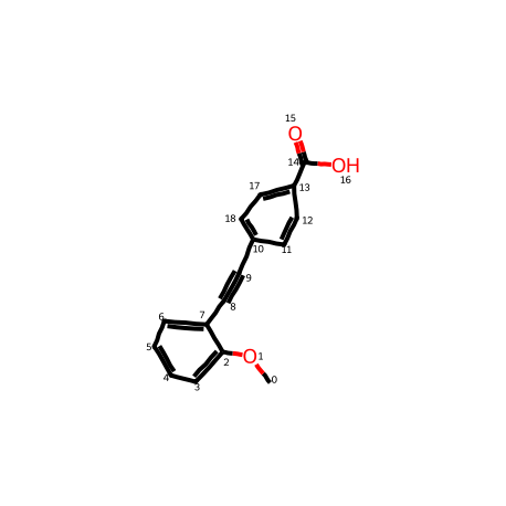 COc1ccccc1C#Cc1ccc(C(=O)O)cc1